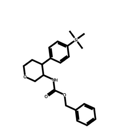 C[Si](C)(C)c1ccc(C2CCOCC2NC(=O)OCc2ccccc2)cc1